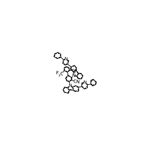 N#Cc1c(-n2c3ccccc3c3ccc(-c4ccc(-c5ccccc5)nc4)cc32)ccc(-c2c(C(F)(F)F)cccc2C(F)(F)F)c1-n1c2ccccc2c2ccc(-c3ccc(-c4ccccc4)nc3)cc21